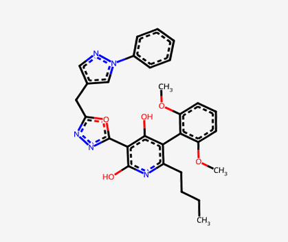 CCCCc1nc(O)c(-c2nnc(Cc3cnn(-c4ccccc4)c3)o2)c(O)c1-c1c(OC)cccc1OC